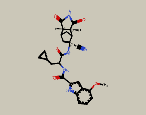 COc1cccc2[nH]c(C(=O)NC(CC3CC3)C(=O)N[C@@]3(C#N)CC4CC3[C@H]3C(=O)NC(=O)[C@@H]43)cc12